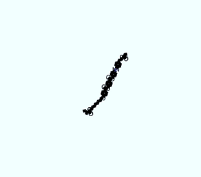 C=CC(=O)OCCc1ccc(/N=N/c2ccc(OC(=O)c3ccc(OC(=O)c4ccc(OCCCCCCCCOC(=O)C(C)CC)cc4)cc3)cc2)cc1